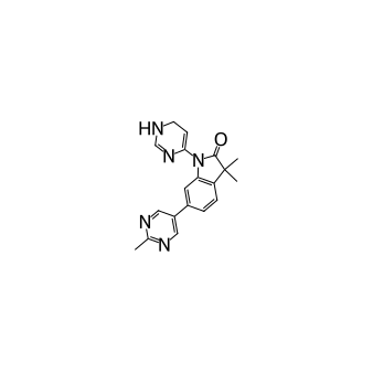 Cc1ncc(-c2ccc3c(c2)N(C2=CCNC=N2)C(=O)C3(C)C)cn1